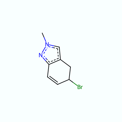 Cn1cc2c(n1)C=CC(Br)C2